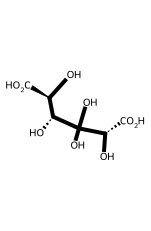 O=C(O)[C@@H](O)[C@@H](O)C(O)(O)[C@@H](O)C(=O)O